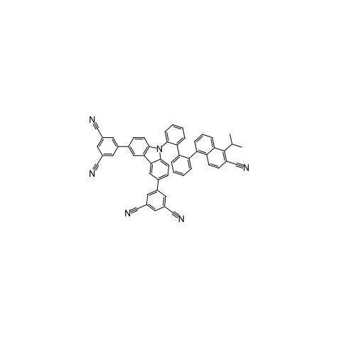 CC(C)c1c(C#N)ccc2c(-c3ccccc3-c3ccccc3-n3c4ccc(-c5cc(C#N)cc(C#N)c5)cc4c4cc(-c5cc(C#N)cc(C#N)c5)ccc43)cccc12